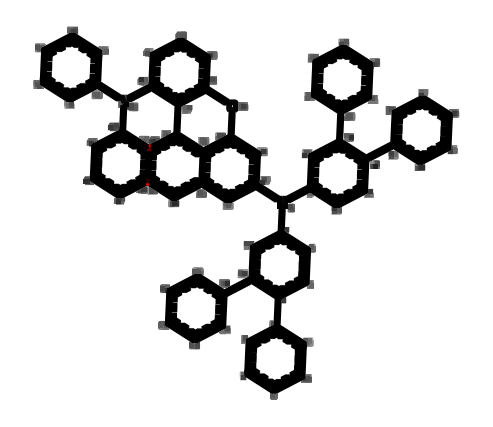 c1ccc(-c2ccc(N(c3ccc(-c4ccccc4)c(-c4ccccc4)c3)c3cc4c5c(cccc5c3)-c3c(cccc3N(c3ccccc3)c3ccccc3)O4)cc2-c2ccccc2)cc1